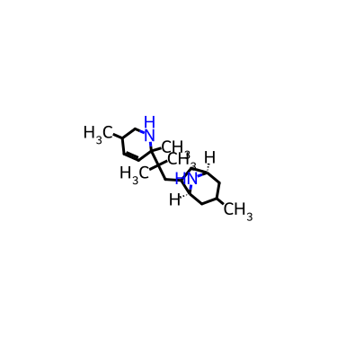 CC1C=CC(C)(C(C)(C)CC2C[C@H]3CC(C)C[C@@H]2N3)NC1